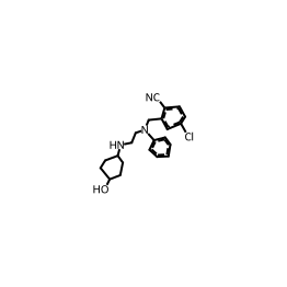 N#Cc1ccc(Cl)cc1CN(CCNC1CCC(O)CC1)c1ccccc1